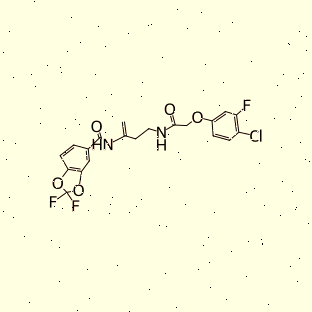 C=C(CCNC(=O)COc1ccc(Cl)c(F)c1)NC(=O)c1ccc2c(c1)OC(F)(F)O2